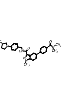 C[C@@H]1CCN(c2ccc(CNC(=O)c3nn(C)c4ccc(-c5ccc(C(=O)N(C)C)cc5)cc34)cc2)C1